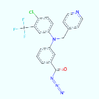 [N-]=[N+]=NC(=O)c1cccc(N(Cc2ccncc2)c2ccc(Cl)c(C(F)(F)F)c2)c1